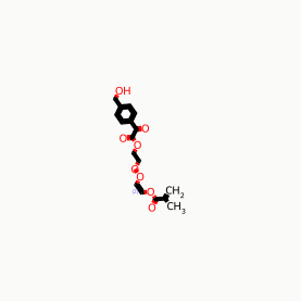 C=C(C)C(=O)O/C=C\OOCCOC(=O)C(=O)c1ccc(CO)cc1